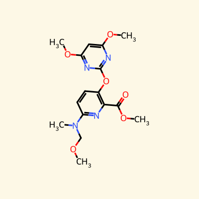 COCN(C)c1ccc(Oc2nc(OC)cc(OC)n2)c(C(=O)OC)n1